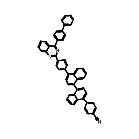 N#Cc1ccc(-c2ccc(-c3ccc(-c4ccc(-c5nc(-c6ccc(-c7ccccc7)cc6)c6ccccc6n5)cc4)c4ccccc34)c3ccccc23)cc1